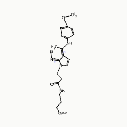 CC/N=C1\C(=C(/C)Nc2ccc(OC(F)(F)F)cc2)C=CN1CCC(=O)NCCCOC